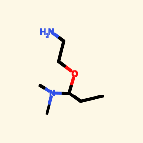 CCC(OCCN)N(C)C